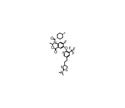 CC1OC(=O)c2cc(Oc3ncc(CCC4CSC(N(C)C)=N4)cc3C(F)(F)F)c(F)cc2N1C(=O)[C@H]1CC[C@H](C)CC1